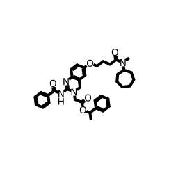 CC(OC(=O)CN1Cc2cc(OCCCC(=O)N(C)C3CCCCCC3)ccc2N=C1NC(=O)c1ccccc1)c1ccccc1